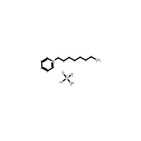 CCCCCCCC[n+]1ccccc1.[O-][Cl+3]([O-])([O-])O